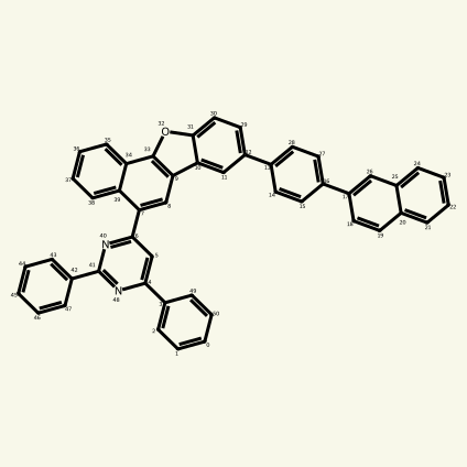 c1ccc(-c2cc(-c3cc4c5cc(-c6ccc(-c7ccc8ccccc8c7)cc6)ccc5oc4c4ccccc34)nc(-c3ccccc3)n2)cc1